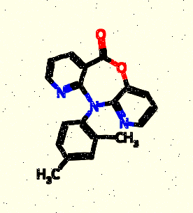 Cc1ccc(N2c3ncccc3OC(=O)c3cccnc32)c(C)c1